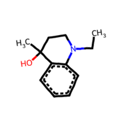 CCN1CCC(C)(O)c2ccccc21